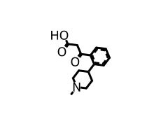 CN1CCC(c2ccccc2C(=O)CC(=O)O)CC1